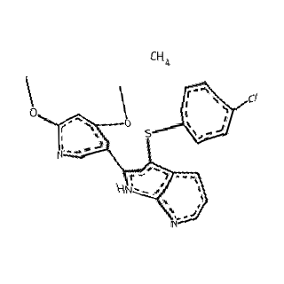 C.COc1cc(OC)c(-c2[nH]c3ncccc3c2Sc2ccc(Cl)cc2)cn1